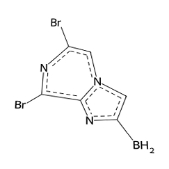 Bc1cn2cc(Br)nc(Br)c2n1